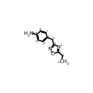 CCc1nc(Cc2ccc(N)cc2)no1